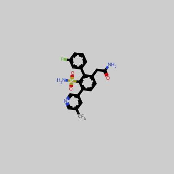 NC(=O)Cc1ccc(-c2cncc(C(F)(F)F)c2)c(S(N)(=O)=O)c1-c1cccc(F)c1